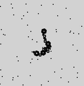 CN1CCC(Oc2ccc(C(=O)Nn3ncc4ccc(OCCOCc5ccccc5)cc43)cc2)CC1